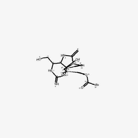 C=C1NC2C(CO)NC(=N)N3C[C@H](OC(=O)C(C)(C)C)[C@](C)(O)C23N1O